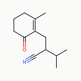 CC1=C(CC(C#N)C(C)C)C(=O)CCC1